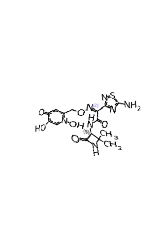 CC1(C)NC(=O)[C@H]1NC(=O)/C(=N\OCc1cc(=O)c(O)cn1O)c1nsc(N)n1